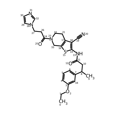 CCOc1cccc(C(C)CC(=O)Nc2sc3c(c2C#N)CCN(C(=O)CCn2ccnc2)C3)c1